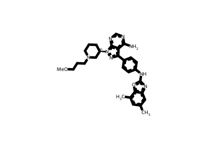 COCCCN1CCC[C@@H](n2nc(-c3ccc(Nc4nc5cc(C)cc(C)c5o4)cc3)c3c(N)ncnc32)C1